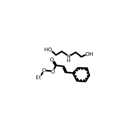 CCOOC(=O)C=Cc1ccccc1.OCCNCCO